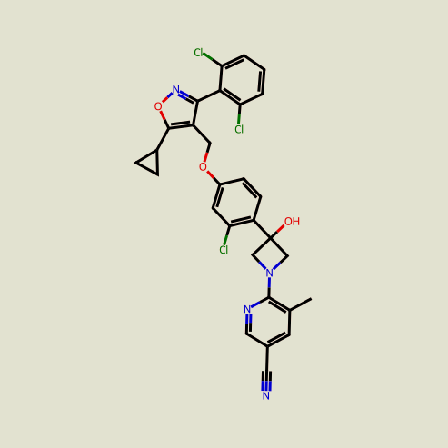 Cc1cc(C#N)cnc1N1CC(O)(c2ccc(OCc3c(-c4c(Cl)cccc4Cl)noc3C3CC3)cc2Cl)C1